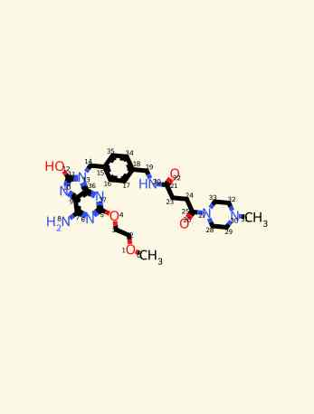 COCCOc1nc(N)c2nc(O)n(Cc3ccc(CNC(=O)CCC(=O)N4CCN(C)CC4)cc3)c2n1